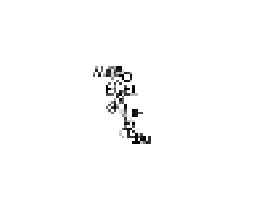 CCC1CCC1(CC(CC)(CC)SCC(=O)OCC(O)COC(=O)C(C)(C)C(C)(C)C)C(=O)OC